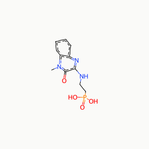 Cn1c(=O)c(NCCP(=O)(O)O)nc2ccccc21